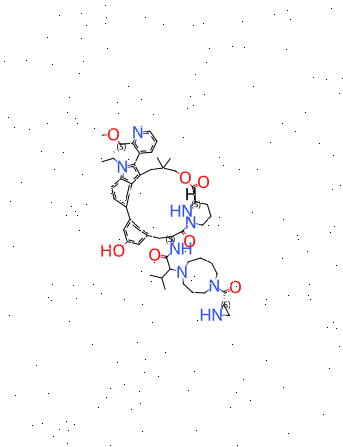 CCn1c(-c2cccnc2[C@H](C)OC)c2c3cc(ccc31)-c1cc(O)cc(c1)C[C@H](NC(=O)C(C(C)C)N1CCCCN(C(=O)[C@@H]3CN3)CCC1)C(=O)N1CCC[C@H](N1)C(=O)OCC(C)(C)C2